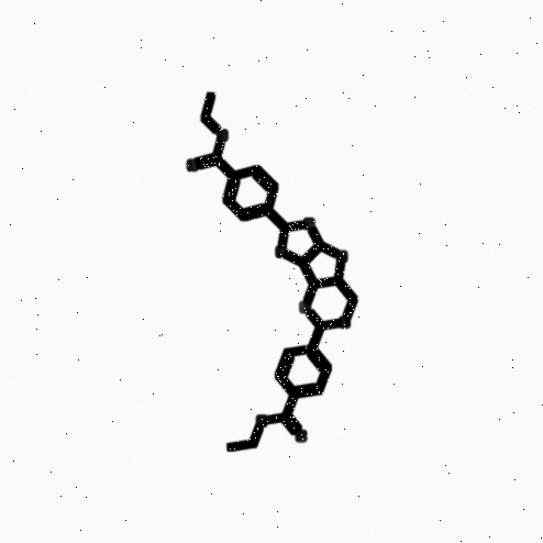 CCOC(=O)c1ccc(C2OCC3OC4OC(c5ccc(C(=O)OCC)cc5)OC4C3O2)cc1